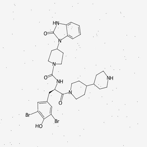 O=C(N[C@H](Cc1cc(Br)c(O)c(Br)c1)C(=O)N1CCC(C2CCNCC2)CC1)N1CCC(n2c(=O)[nH]c3ccccc32)CC1